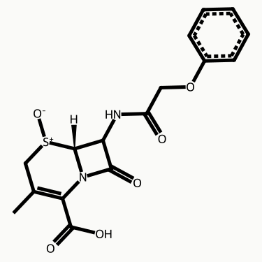 CC1=C(C(=O)O)N2C(=O)C(NC(=O)COc3ccccc3)[C@H]2[S+]([O-])C1